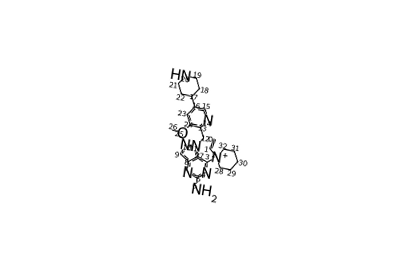 C=C[N+]1(c2nc(N)nc3cnn(Cc4ncc(C5CCNCC5)cc4OC)c23)CCCCC1